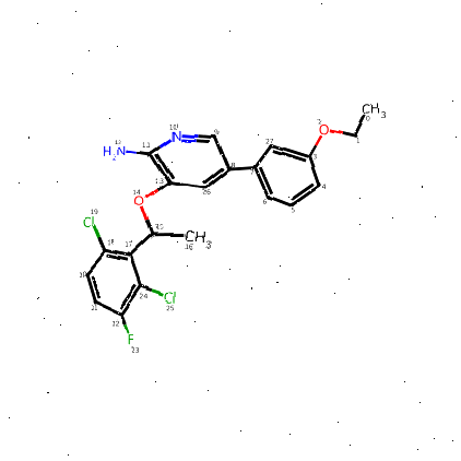 CCOc1cccc(-c2cnc(N)c(OC(C)c3c(Cl)ccc(F)c3Cl)c2)c1